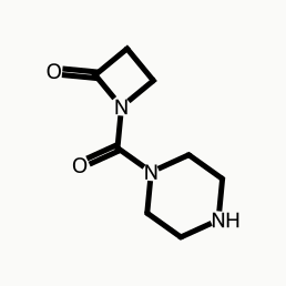 O=C1CCN1C(=O)N1CCNCC1